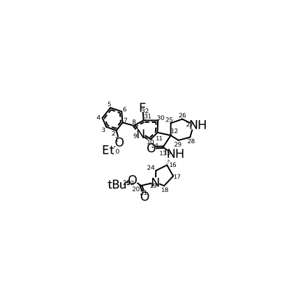 CCOc1ccccc1-c1ncc(C2(C(=O)N[C@@H]3CCN(C(=O)OC(C)(C)C)C3)CCNCC2)cc1F